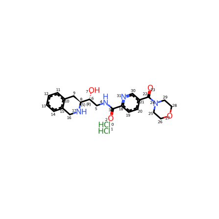 Cl.Cl.O=C(NC[C@@H](O)[C@@H]1Cc2ccccc2CN1)c1ccc(C(=O)N2CCOCC2)cn1